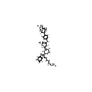 COCCCn1c([C@@H]2CCCN(C(=O)C[C@H](N)Cc3ccc(-c4cnc(N)nc4)cc3)C2)nc2ccccc21